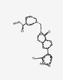 CNC(=O)c1cccc(Cn2cnc3cc(-c4cn[nH]c4Cl)ccc3c2=O)c1